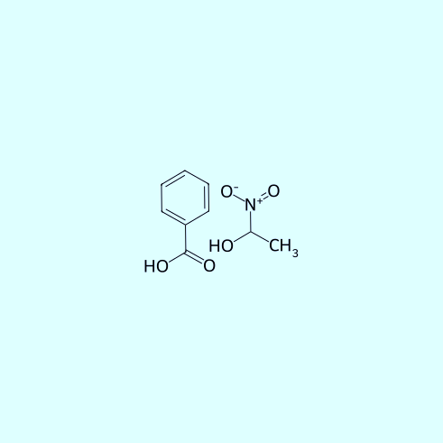 CC(O)[N+](=O)[O-].O=C(O)c1ccccc1